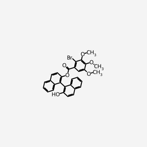 COc1cc(C(=O)Oc2ccc3ccccc3c2-c2c(O)ccc3ccccc23)c(Br)c(OC)c1OC